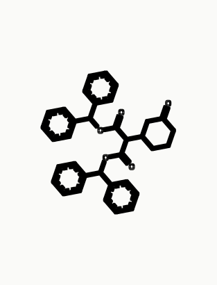 O=C1CCCC(C(C(=O)OC(c2ccccc2)c2ccccc2)C(=O)OC(c2ccccc2)c2ccccc2)C1